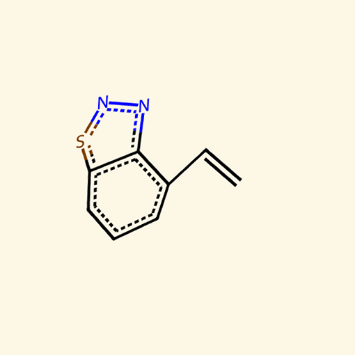 C=Cc1cccc2snnc12